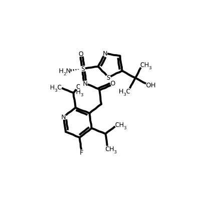 CC(C)c1ncc(F)c(C(C)C)c1CC(=O)N=[S@@](N)(=O)c1ncc(C(C)(C)O)s1